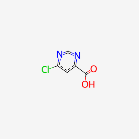 O=C(O)c1cc(Cl)ncn1